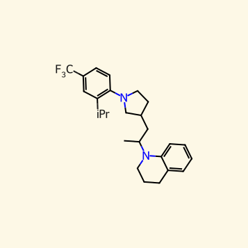 CC(C)c1cc(C(F)(F)F)ccc1N1CCC(CC(C)N2CCCc3ccccc32)C1